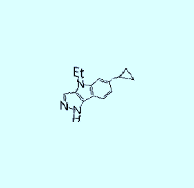 CCn1c2cc(C3CC3)ccc2c2[nH]ncc21